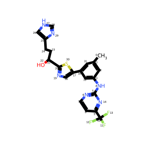 Cc1cc(Nc2nccc(C(F)(F)F)n2)cc(-c2cnc(C(O)CCc3c[nH]cn3)s2)c1